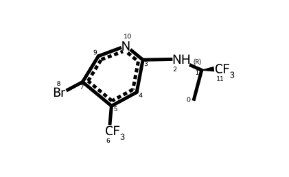 C[C@@H](Nc1cc(C(F)(F)F)c(Br)cn1)C(F)(F)F